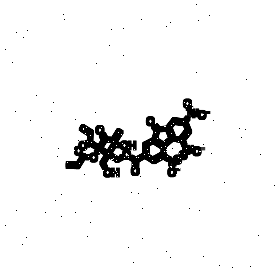 C=CC(=O)OC(C(=O)C=C)(C(=O)C=C)C(CO)(CO)COC(=O)c1cc2c(c([N+](=O)[O-])c1)-c1c(cc([N+](=O)[O-])cc1[N+](=O)[O-])C2=O